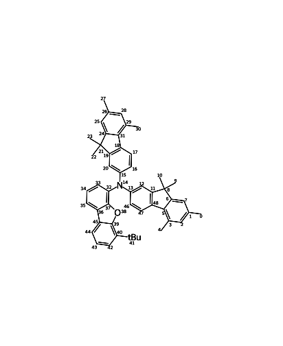 Cc1cc(C)c2c(c1)C(C)(C)c1cc(N(c3ccc4c(c3)C(C)(C)c3cc(C)cc(C)c3-4)c3cccc4c3oc3c(C(C)(C)C)cccc34)ccc1-2